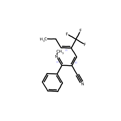 CC/C=C(/C=C(C#N)\C(=N/C)c1ccccc1)C(F)(F)F